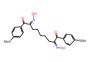 CSc1ccc(C(=O)/C(CCCCC/C(=N/O)C(=O)c2ccc(SC)cc2)=N\O)cc1